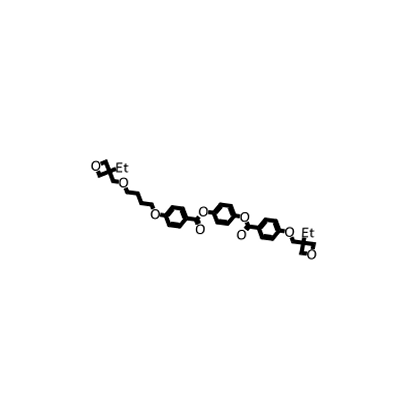 CCC1(COCCCCOc2ccc(C(=O)Oc3ccc(OC(=O)c4ccc(OCC5(CC)COC5)cc4)cc3)cc2)COC1